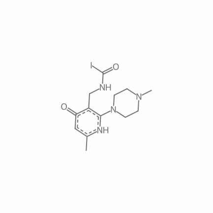 Cc1cc(=O)c(CNC(=O)I)c(N2CCN(C)CC2)[nH]1